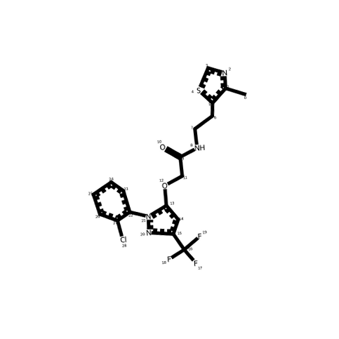 Cc1ncsc1CCNC(=O)COc1cc(C(F)(F)F)nn1-c1ccccc1Cl